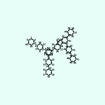 c1ccc(-c2ccc(-c3nc(-c4ccc(-c5ccccc5)cc4)nc(-c4ccc5c(c4)oc4cc(-c6ccccc6)cc(-c6ccc(-c7ccccc7)cc6)c45)n3)cc2)cc1